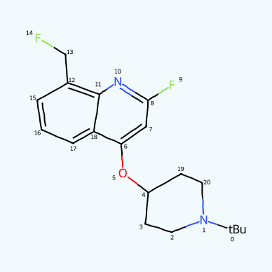 CC(C)(C)N1CCC(Oc2cc(F)nc3c(CF)cccc23)CC1